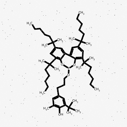 CCCCCC(C)(C)c1cc(C(C)(C)CCCCC)c2op(OCCCc3cc(C)c(O)c(C(C)(C)C)c3)oc3c(C(C)(C)CCCCC)cc(C(C)(C)CCCCC)cc3c2c1